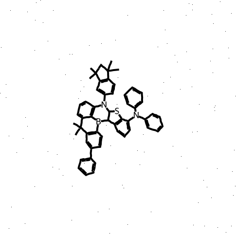 CC1(C)CC(C)(C)c2cc(N3c4cccc5c4B(c4ccc(-c6ccccc6)cc4C5(C)C)C4c5cccc(N(c6ccccc6)c6ccccc6)c5SC43)ccc21